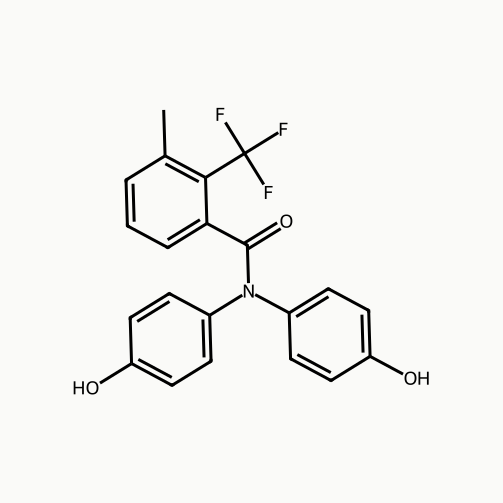 Cc1cccc(C(=O)N(c2ccc(O)cc2)c2ccc(O)cc2)c1C(F)(F)F